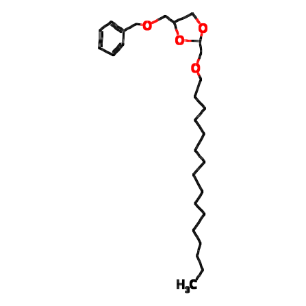 CCCCCCCCCCCCCCCCOCC1OCC(COCc2ccccc2)O1